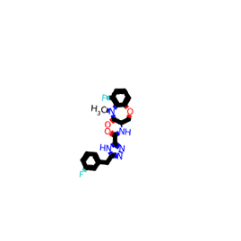 CN1C(=O)[C@@H](NC(=O)c2nnc(Cc3cccc(F)c3)[nH]2)COc2cccc(F)c21